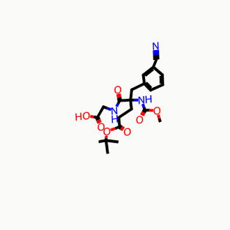 COC(=O)NC(CCC(=O)OC(C)(C)C)(Cc1cccc(C#N)c1)C(=O)NCC(=O)O